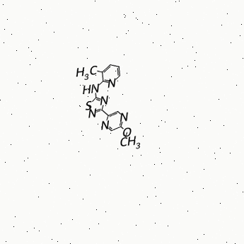 COc1cnc(-c2nsc(Nc3ncccc3C)n2)cn1